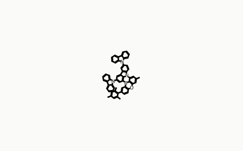 Cc1cc(C)c(-c2ccc3c(c2)B2c4c(cc(C)cc4-n4c5ccc(-n6c7ccccc7c7ccccc76)cc5c5cc(-n6c7ccccc7c7ccccc76)cc2c54)O3)c(C)c1